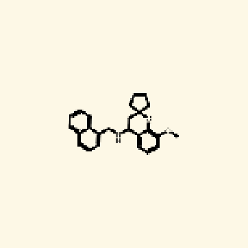 COc1cccc2c1OC1(CCCC1)CC2NCc1cccc2ccccc12